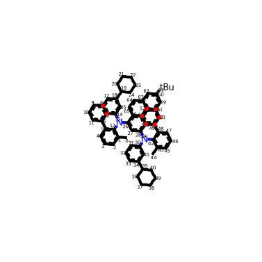 Cc1cccc(-c2ccccc2)c1N(c1cccc(C2CCCCC2)c1)c1cc(N(c2cccc(C3CCCCC3)c2)c2c(C)cccc2-c2ccccc2)c2ccc3cc(C(C)(C)C)cc4ccc1c2c43